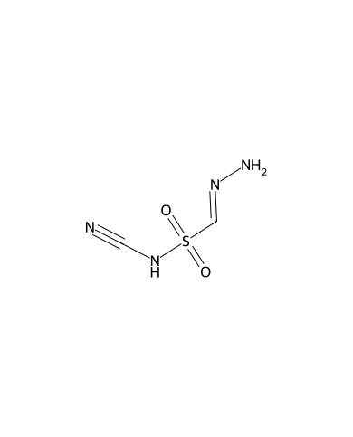 N#CNS(=O)(=O)C=NN